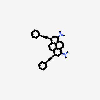 CN(C)c1cc(C#Cc2ccccc2)c2ccc3c(C#Cc4ccccc4)cc(N(C)C)c4ccc1c2c34